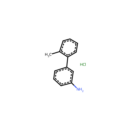 Cc1ccccc1-c1cccc(N)c1.Cl